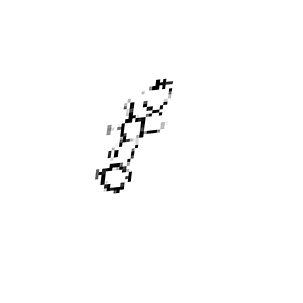 O=c1[nH]c(=O)n(Cc2cnccn2)c2c1C1(CCNCC1)OC2